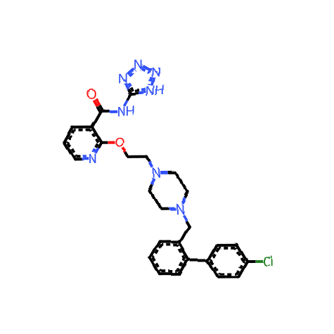 O=C(Nc1nnn[nH]1)c1cccnc1OCCN1CCN(Cc2ccccc2-c2ccc(Cl)cc2)CC1